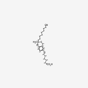 CC1(CCCCCCCCC#N)CCc2cc(OCCCCCC(=O)O)ccc2O1